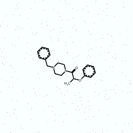 CC(Oc1ccccc1)C(=O)N1CCN(Cc2ccccc2)CC1